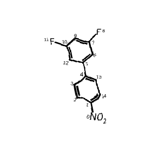 O=[N+]([O-])c1ccc(-c2cc(F)[c]c(F)c2)cc1